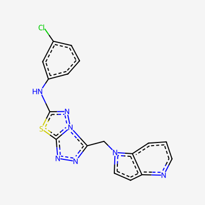 Clc1cccc(Nc2nn3c(Cn4ccc5ncccc54)nnc3s2)c1